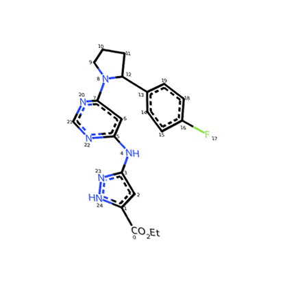 CCOC(=O)c1cc(Nc2cc(N3CCCC3c3ccc(F)cc3)ncn2)n[nH]1